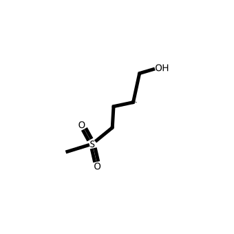 CS(=O)(=O)CC[CH]CO